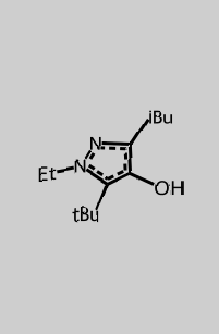 CCC(C)c1nn(CC)c(C(C)(C)C)c1O